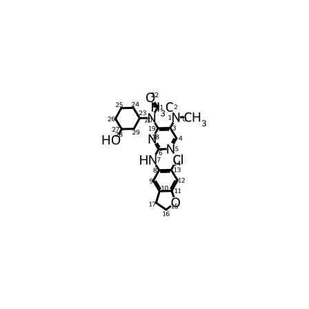 CN(C)c1cnc(Nc2cc3c(cc2Cl)OCC3)nc1N(C=O)C1CCCC(O)C1